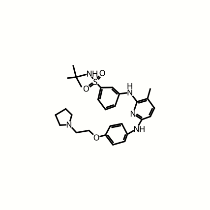 Cc1ccc(Nc2ccc(OCCN3CCCC3)cc2)nc1Nc1cccc(S(=O)(=O)NC(C)(C)C)c1